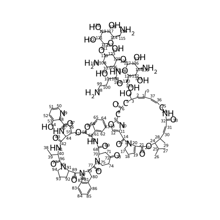 CC1=CC(O)CC(=O)Cc2nc(co2)C(=O)N2CCC=C2C(=O)OC(C(C)C)C(C)C=CC(=O)NCC=C1.CCC1NC(=O)C(NC(=O)c2ncccc2O)C(C)OC(=O)C(c2ccccc2)NC(=O)C2CC(=O)CCN2C(=O)C(Cc2ccccc2)N(C)C(=O)C2CCCN2C1=O.NCC[C@H](O)C(=O)N[C@@H]1C[C@H](N)[C@@H](O[C@H]2O[C@H](CN)[C@@H](O)[C@H](O)[C@H]2O)[C@H](O)[C@H]1O[C@H]1O[C@H](CO)[C@@H](O)[C@H](N)[C@H]1O